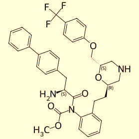 COC(=O)N(C(=O)[C@@H](N)Cc1ccc(-c2ccccc2)cc1)c1ccccc1CC[C@@H]1CNC[C@@H](COc2ccc(C(F)(F)F)cc2)O1